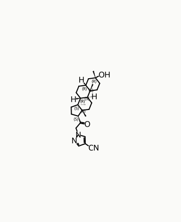 C[C@@]1(O)CC[C@@]2(C)[C@H](CC[C@@H]3[C@@H]2CC[C@]2(C)[C@@H](C(=O)Cn4cc(C#N)cn4)CC[C@@]32C)C1